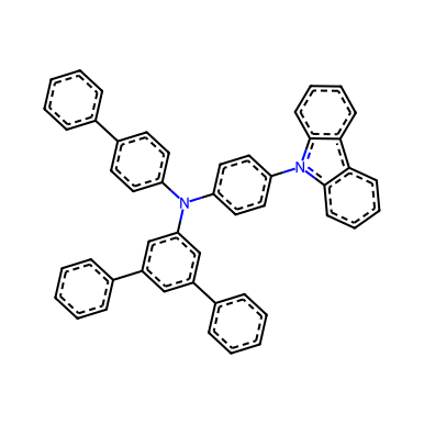 c1ccc(-c2ccc(N(c3ccc(-n4c5ccccc5c5ccccc54)cc3)c3cc(-c4ccccc4)cc(-c4ccccc4)c3)cc2)cc1